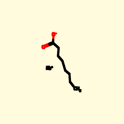 CCCCCCCC(=O)[O-].[Rb+]